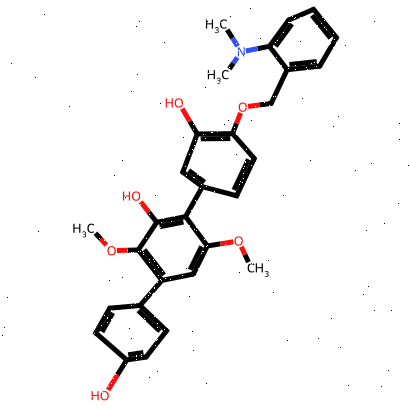 COc1cc(-c2ccc(O)cc2)c(OC)c(O)c1-c1ccc(OCc2ccccc2N(C)C)c(O)c1